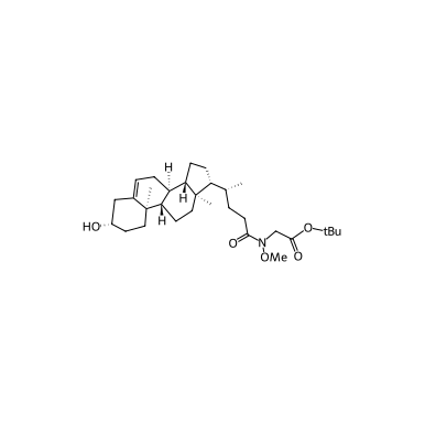 CON(CC(=O)OC(C)(C)C)C(=O)CC[C@@H](C)[C@H]1CC[C@H]2[C@@H]3CC=C4C[C@@H](O)CC[C@]4(C)[C@H]3CC[C@]12C